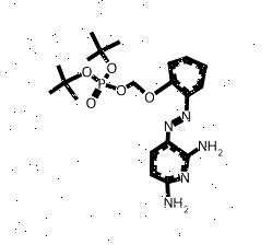 CC(C)(C)OP(=O)(OCOc1ccccc1/N=N/c1ccc(N)nc1N)OC(C)(C)C